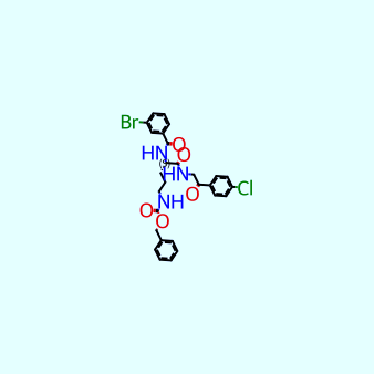 O=C(NCCC[C@H](NC(=O)c1cccc(Br)c1)C(=O)NCC(=O)c1ccc(Cl)cc1)OCc1ccccc1